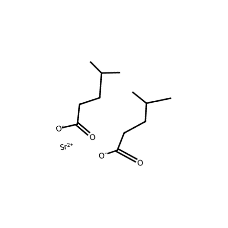 CC(C)CCC(=O)[O-].CC(C)CCC(=O)[O-].[Sr+2]